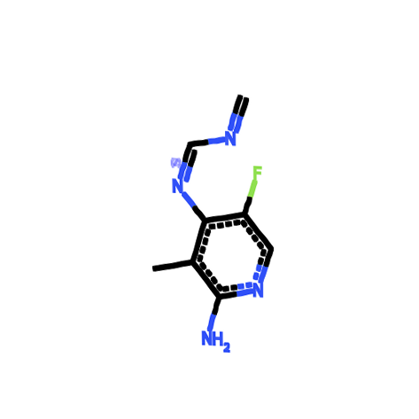 C=N/C=N\c1c(F)cnc(N)c1C